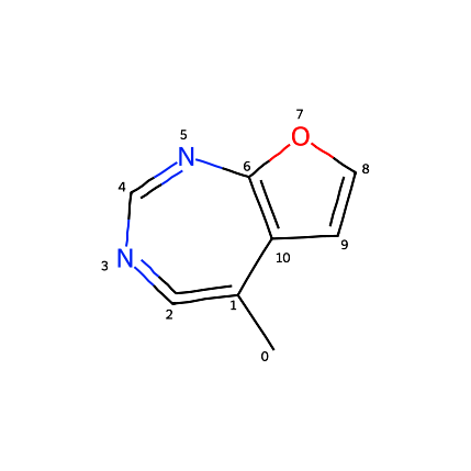 CC1=C=NC=Nc2occc21